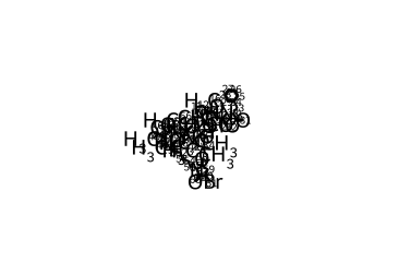 CC[C@@H](C)[C@@H]([C@@H](CC(=O)N1CCC[C@H]1[C@H](OC)[C@@H](C)C(=O)N[C@@H](Cc1ccccc1)C(=O)O)OC)N(C)C(=O)[C@@H](NC(=O)C(C(C)C)N(C)C(=O)CCCCCN1C(=O)C=C(Br)C1=O)C(C)C